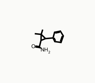 CC1(C)C(C(N)=O)C1c1ccccc1